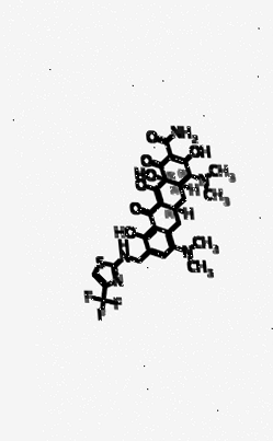 CN(C)c1cc(CNc2nc(C(F)(F)F)cs2)c(O)c2c1C[C@H]1C[C@H]3[C@H](N(C)C)C(O)=C(C(N)=O)C(=O)[C@@]3(O)C(O)=C1C2=O